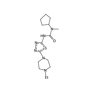 CCN1CCN(c2nnc(NC(=O)N(C)C3CCCC3)s2)CC1